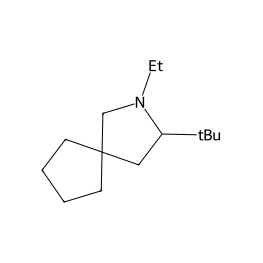 CCN1CC2(CCCC2)CC1C(C)(C)C